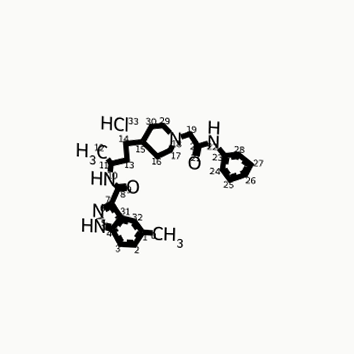 Cc1ccc2[nH]nc(C(=O)NC(C)CCC3CCN(CC(=O)Nc4ccccc4)CC3)c2c1.Cl